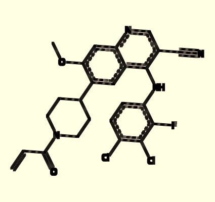 C=CC(=O)N1CCC(c2cc3c(Nc4ccc(Cl)c(Cl)c4F)c(C#N)cnc3cc2OC)CC1